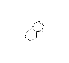 [CH]1COc2cccnc2O1